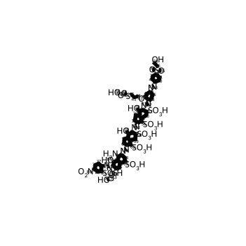 Nc1c(N=Nc2ccc3c(O)c(N=Nc4ccc5c(O)c(N=Nc6ccc(N=Nc7ccc(S(=O)(=O)CCO)cc7)cc6OCCCSOOO)c(S(=O)(=O)O)cc5c4S(=O)(=O)O)c(S(=O)(=O)O)cc3c2S(=O)(=O)O)cc(S(=O)(=O)O)c2cc(SOOO)c(N=Nc3ccc([N+](=O)[O-])cc3S(=O)(=O)O)c(O)c12